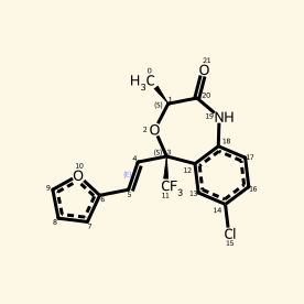 C[C@@H]1O[C@](/C=C/c2ccco2)(C(F)(F)F)c2cc(Cl)ccc2NC1=O